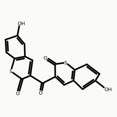 O=C(c1cc2cc(O)ccc2sc1=O)c1cc2cc(O)ccc2sc1=O